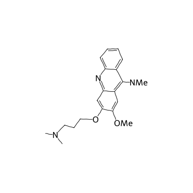 CNc1c2ccccc2nc2cc(OCCCN(C)C)c(OC)cc12